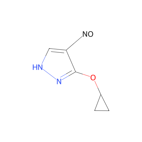 O=Nc1c[nH]nc1OC1CC1